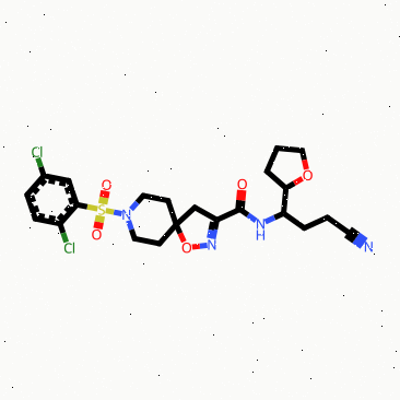 N#CCCC(NC(=O)C1=NOC2(CCN(S(=O)(=O)c3cc(Cl)ccc3Cl)CC2)C1)C1CCCO1